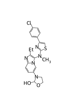 CCc1nc2ccc(N3CCOC3O)cn2c1N(C)c1nc(-c2ccc(Cl)cc2)cs1